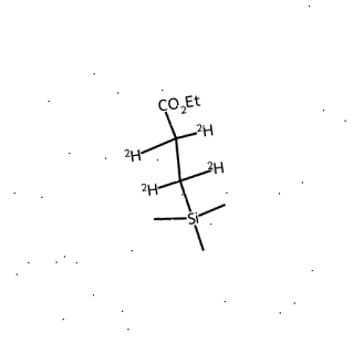 [2H]C([2H])(C(=O)OCC)C([2H])([2H])[Si](C)(C)C